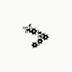 CCOC(Cc1ccc(OCCN(CC2CCCCC2)C(=O)Nc2ccc(Oc3ccccc3)cc2)cc1)C(=O)O